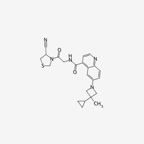 CC1(C2CC2)CN(c2ccc3nccc(C(=O)NCC(=O)N4CSCC4C#N)c3c2)C1